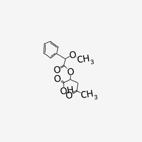 COC(C(=O)OC(CC(C)=O)C(=O)O)c1ccccc1